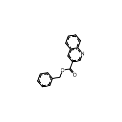 O=C(OCc1ccccc1)c1cnc2ccccc2c1